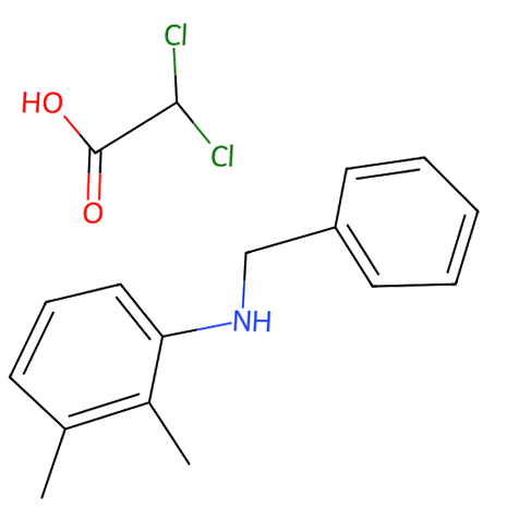 Cc1cccc(NCc2ccccc2)c1C.O=C(O)C(Cl)Cl